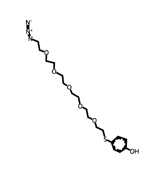 [N-]=[N+]=NCCOCCOCCOCCOCCOCCSc1ccc(O)cc1